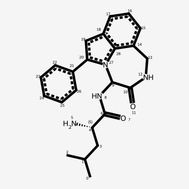 CC(C)C[C@H](N)C(=O)NC1C(=O)NCc2cccc3cc(-c4ccccc4)n1c23